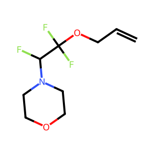 C=CCOC(F)(F)C(F)N1CCOCC1